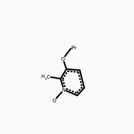 Cc1c(OC(C)C)ccc[n+]1[O-]